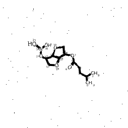 CC(C)CCC(=O)OC1COC2C(ON(O)O)COC12